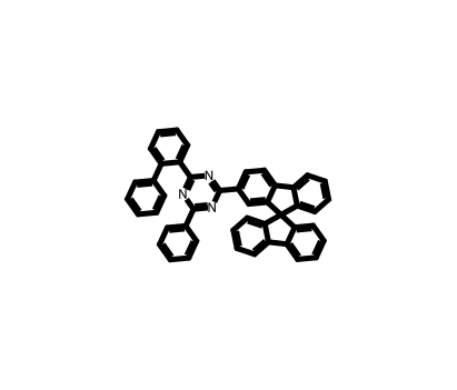 c1ccc(-c2nc(-c3ccc4c(c3)C3(c5ccccc5-c5ccccc53)c3ccccc3-4)nc(-c3ccccc3-c3ccccc3)n2)cc1